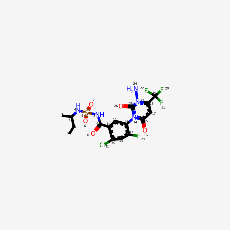 CCC(C)NS(=O)(=O)NC(=O)c1cc(-n2c(=O)cc(C(F)(F)F)n(N)c2=O)c(F)cc1Cl